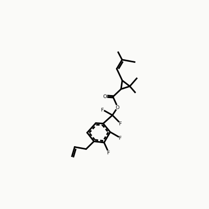 C=CCc1ccc(C(F)(F)OC(=O)C2C(C=C(C)C)C2(C)C)c(F)c1F